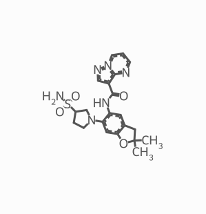 CC1(C)Cc2cc(NC(=O)c3cnn4cccnc34)c(N3CCC(S(N)(=O)=O)C3)cc2O1